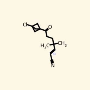 CC(C)(/C=C/C#N)CCC(=O)C12CC(Cl)(C1)C2